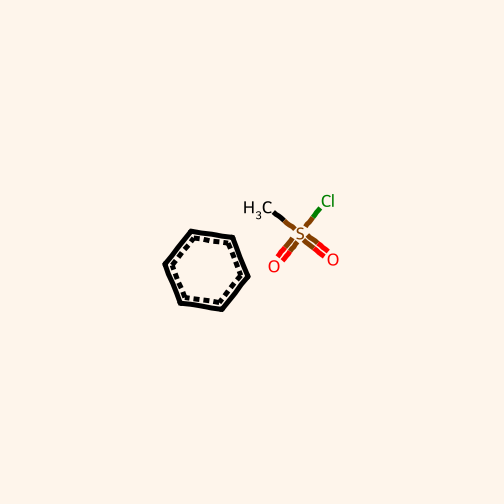 CS(=O)(=O)Cl.c1ccccc1